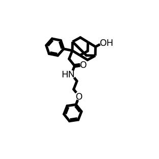 O=C(CC1(c2ccccc2)C2CC3CC1CC(C2)C3O)NCCOc1ccccc1